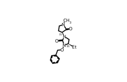 CC[C@@H]1CN([C@H]2CCN(C)C2=O)C(=O)N1OCc1ccccc1